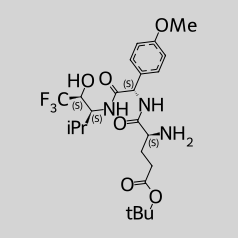 COc1ccc([C@H](NC(=O)[C@@H](N)CCC(=O)OC(C)(C)C)C(=O)N[C@@H](C(C)C)[C@H](O)C(F)(F)F)cc1